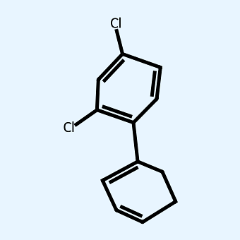 Clc1ccc(C2=CC=CCC2)c(Cl)c1